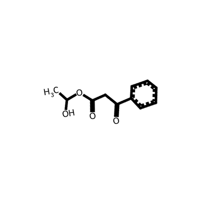 CC(O)OC(=O)CC(=O)c1ccccc1